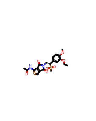 CCOc1cc([C@H](CN2C(=O)c3csc(NC(C)=O)c3C2=O)S(C)(=O)=O)ccc1OC